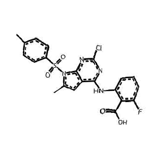 Cc1ccc(S(=O)(=O)n2c(C)cc3c(Nc4cccc(F)c4C(=O)O)nc(Cl)nc32)cc1